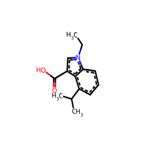 CCn1cc(C(=O)O)c2c(C(C)C)cccc21